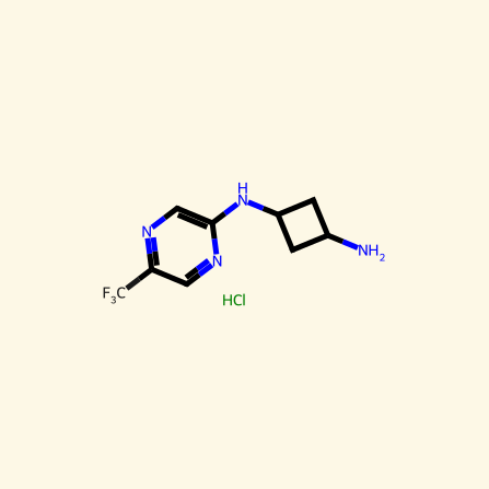 Cl.NC1CC(Nc2cnc(C(F)(F)F)cn2)C1